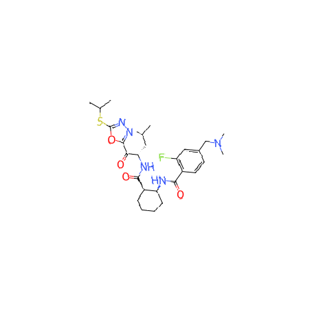 CC(C)C[C@H](NC(=O)[C@@H]1CCCC[C@@H]1NC(=O)c1ccc(CN(C)C)cc1F)C(=O)c1nnc(SC(C)C)o1